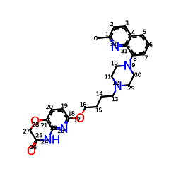 Cc1ccc2cccc(N3CCN(CCCCOc4ccc5c(n4)NC(=O)CO5)CC3)c2n1